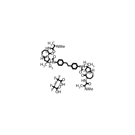 CN[C@@H](C)C(=O)N[C@H]1CCS[C@H]2CC(C)(C)[C@@H](C(=O)Nc3ccc(CCc4ccc(NC(=O)[C@H]5N6C(=O)[C@@H](NC(=O)[C@H](C)NC)CCS[C@H]6CC5(C)C)cc4)cc3)N2C1=O.O=C(O)C(F)(F)F.O=C(O)C(F)(F)F